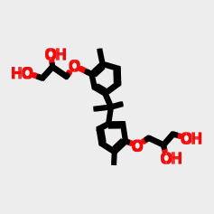 Cc1ccc(C(C)(C)c2ccc(C)c(OCC(O)CO)c2)cc1OCC(O)CO